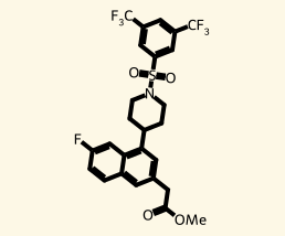 COC(=O)Cc1cc(C2CCN(S(=O)(=O)c3cc(C(F)(F)F)cc(C(F)(F)F)c3)CC2)c2cc(F)ccc2c1